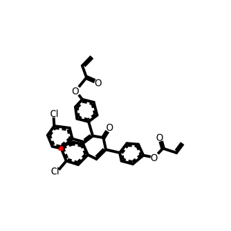 C=CC(=O)Oc1ccc(C(=Cc2cccc(Cl)c2)C(=O)C(=Cc2cccc(Cl)c2)c2ccc(OC(=O)C=C)cc2)cc1